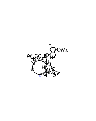 COc1cc(F)cc2c(O[C@@H]3C[C@H]4C(=O)N[C@]5(C(=O)NS(=O)(=O)C6(C)CC6)C[C@H]5/C=C\CC[C@H](C)C[C@@H](C)[C@H](N(CC5(C)CC5)C(=O)O)C(=O)N4C3)nccc12